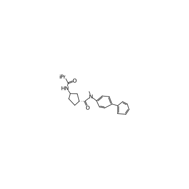 CC(C)C(=O)NC1CC[C@@H](C(=O)N(C)c2ccc(-c3ccccc3)cc2)C1